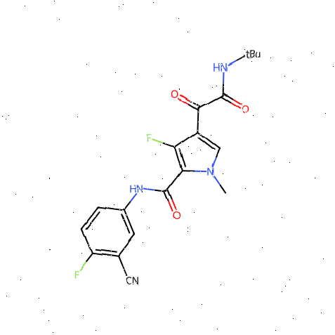 Cn1cc(C(=O)C(=O)NC(C)(C)C)c(F)c1C(=O)Nc1ccc(F)c(C#N)c1